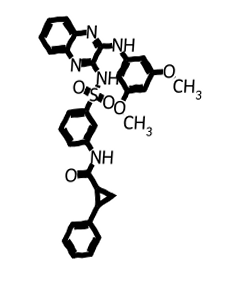 COc1cc(Nc2nc3ccccc3nc2NS(=O)(=O)c2cccc(NC(=O)C3CC3c3ccccc3)c2)cc(OC)c1